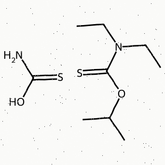 CCN(CC)C(=S)OC(C)C.NC(O)=S